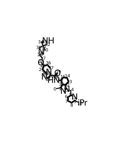 Cc1nn(Cc2cccc(C(C)C)n2)c2cccc(NC(=O)c3cnc4cc(OCCN5CC6(CNC6)C5)ccn34)c12